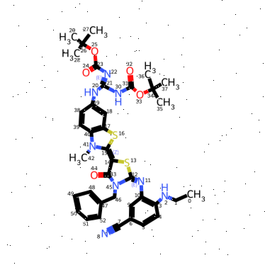 CCNc1ccc(C#N)cc1/N=C1/S/C(=C2\Sc3cc(N/C(=N\C(=O)OC(C)(C)C)NC(=O)OC(C)(C)C)ccc3N2C)C(=O)N1Cc1ccccc1